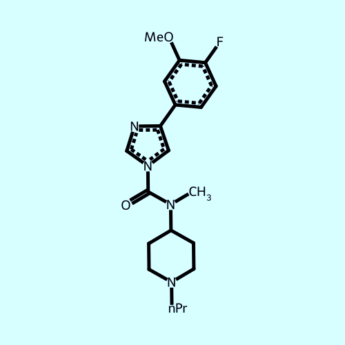 CCCN1CCC(N(C)C(=O)n2cnc(-c3ccc(F)c(OC)c3)c2)CC1